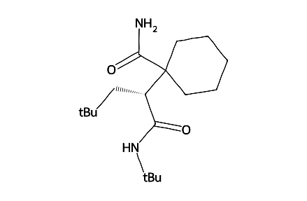 CC(C)(C)C[C@@H](C(=O)NC(C)(C)C)C1(C(N)=O)CCCCC1